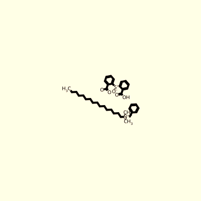 CCCCCCCCCCCCCCCC[N+](C)(C)Cc1ccccc1.O=C([O-])c1ccccc1[S+]([O-])c1ccccc1C(=O)O